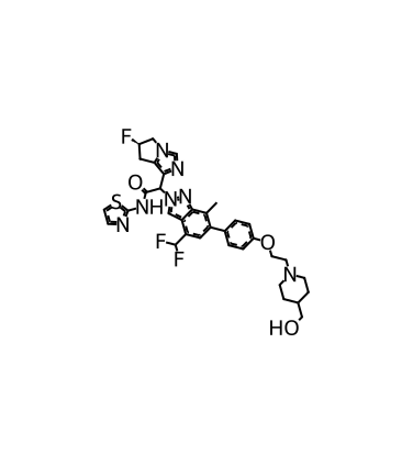 Cc1c(-c2ccc(OCCN3CCC(CO)CC3)cc2)cc(C(F)F)c2cn(C(C(=O)Nc3nccs3)c3ncn4c3C[C@@H](F)C4)nc12